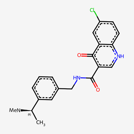 CN[C@H](C)c1cccc(CNC(=O)c2c[nH]c3ccc(Cl)cc3c2=O)c1